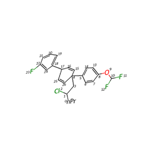 CCCC(Cl)CC1(c2ccc(OC(F)F)cc2)C=CC(c2cccc(F)c2)C=C1